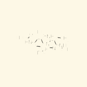 C=Cc1c(NC)ncnc1N[C@H](C)c1cc(NC(C)=O)cc(C(F)(F)F)c1